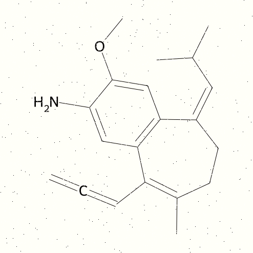 C=C=CC1=C(C)CC/C(=C/C(C)C)c2cc(OC)c(N)cc21